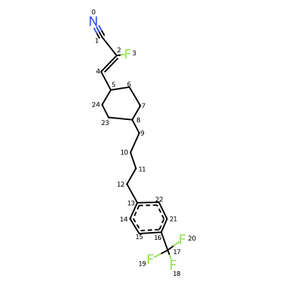 N#CC(F)=CC1CCC(CCCCc2ccc(C(F)(F)F)cc2)CC1